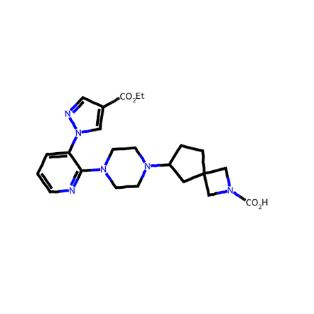 CCOC(=O)c1cnn(-c2cccnc2N2CCN(C3CCC4(C3)CN(C(=O)O)C4)CC2)c1